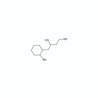 CC(C)(C)C1CCCCC1CC(O)CCO